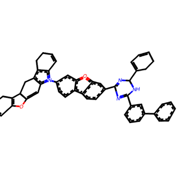 C1=CCCC(C2N=C(c3ccc4c(c3)oc3cc(-n5c6c(c7c5C=C5OC8=C(CCC=C8)C5C7)CCC=C6)ccc34)N=C(c3cccc(-c4ccccc4)c3)N2)=C1